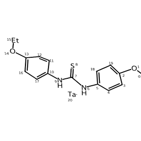 CCOc1ccc(NC(=S)Nc2ccc(OCC)cc2)cc1.[Ta]